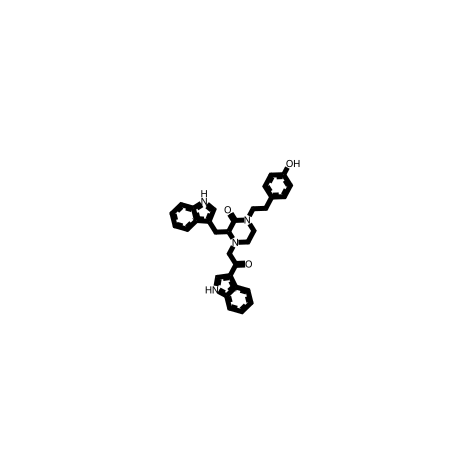 O=C(CN1CCN(CCc2ccc(O)cc2)C(=O)C1Cc1c[nH]c2ccccc12)c1c[nH]c2ccccc12